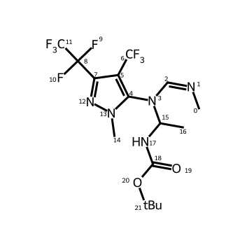 C/N=C\N(c1c(C(F)(F)F)c(C(F)(F)C(F)(F)F)nn1C)C(C)NC(=O)OC(C)(C)C